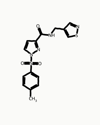 Cc1ccc(S(=O)(=O)n2ccc(C(=O)NCc3cnsc3)n2)cc1